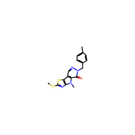 CSc1nc2c(s1)c1cnn(Cc3ccc(C)cc3)c(=O)c1n2C